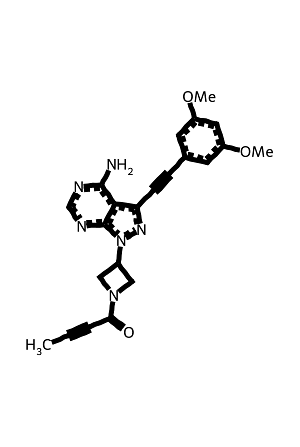 CC#CC(=O)N1CC(n2nc(C#Cc3cc(OC)cc(OC)c3)c3c(N)ncnc32)C1